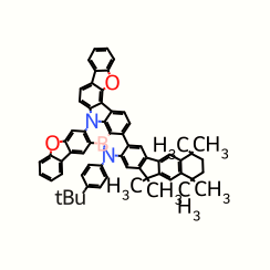 CC(C)(C)c1ccc(N2B3c4cc5c(cc4-n4c6ccc7c8ccccc8oc7c6c6ccc(c3c64)-c3cc4c(cc32)C(C)(C)c2cc3c(cc2-4)C(C)(C)CCC3(C)C)oc2ccccc25)cc1